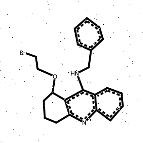 BrCCOC1CCCc2nc3ccccc3c(NCc3ccccc3)c21